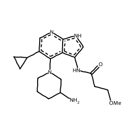 COCCC(=O)Nc1c[nH]c2ncc(C3CC3)c(N3CCCC(N)C3)c12